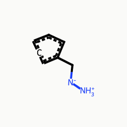 [NH3+][N-]Cc1ccccc1